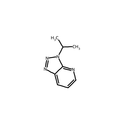 CC(C)n1nnc2cccnc21